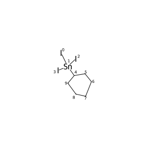 [I][Sn]([I])([I])[CH]1CCCCC1